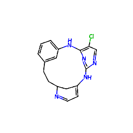 Clc1cnc2nc1Nc1cccc(c1)CCC1CC(=CC=N1)N2